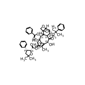 CC1=C2[C@@H](O)C(=O)[C@]3(C)[C@@H](OC(C)(C)c4ccccc4)C[C@H]4OC[C@@]4(C)[C@H]3[C@H](OC(=O)c3ccccc3)[C@](O)(C[C@@H]1OC(=O)[C@@H]1OC(C)(C)C[C@@H]1c1ccccc1)C2(C)C